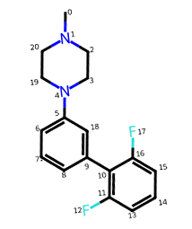 CN1CCN(c2c[c]cc(-c3c(F)cccc3F)c2)CC1